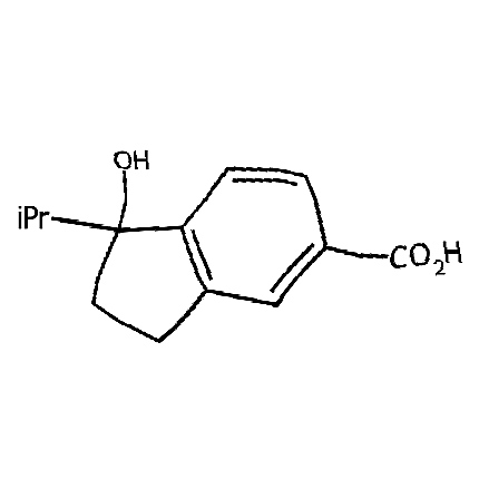 CC(C)C1(O)CCc2cc(C(=O)O)ccc21